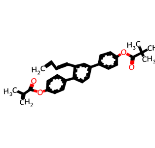 C=C/C=C/c1cc(-c2ccc(OC(=O)C(C)(C)C)cc2)ccc1-c1ccc(OC(=O)C(=C)C)cc1